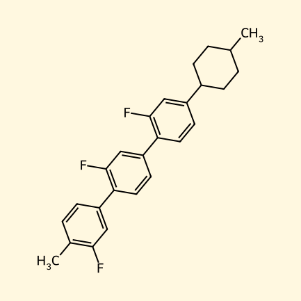 Cc1ccc(-c2ccc(-c3ccc(C4CCC(C)CC4)cc3F)cc2F)cc1F